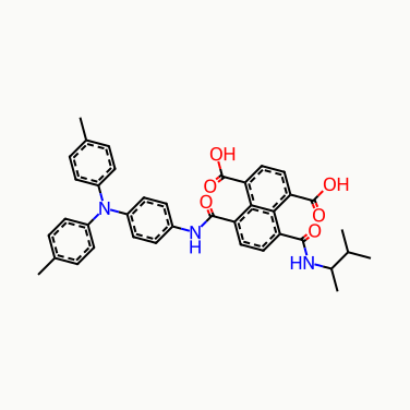 Cc1ccc(N(c2ccc(C)cc2)c2ccc(NC(=O)c3ccc(C(=O)NC(C)C(C)C)c4c(C(=O)O)ccc(C(=O)O)c34)cc2)cc1